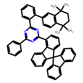 CC1(C)CCC(C)(C)c2cc(-c3ccccc3-c3nc(-c4ccccc4)nc(-c4cccc5c4-c4ccccc4C54c5ccccc5-c5ccccc54)n3)ccc21